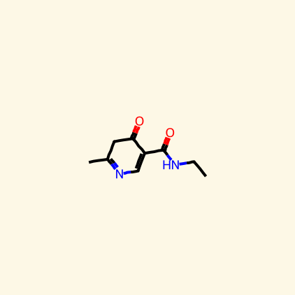 CCNC(=O)C1=CN=C(C)CC1=O